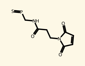 O=C(CCN1C(=O)C=CC1=O)NCP=S